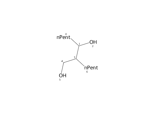 CCCCCC(O)C(CO)CCCCC